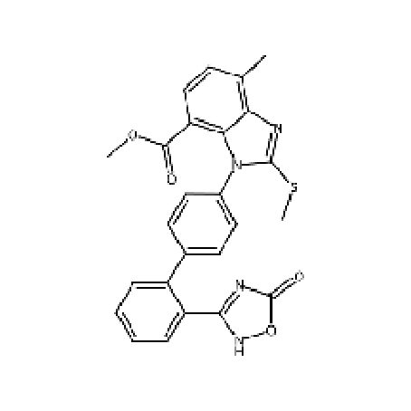 COC(=O)c1ccc(C)c2nc(SC)n(-c3ccc(-c4ccccc4-c4nc(=O)o[nH]4)cc3)c12